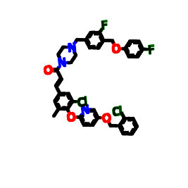 Cc1cc(C=CC(=O)N2CCN(Cc3ccc(COc4ccc(F)cc4)c(F)c3)CC2)cc(Cl)c1Oc1ccc(OCc2ccccc2Cl)cn1